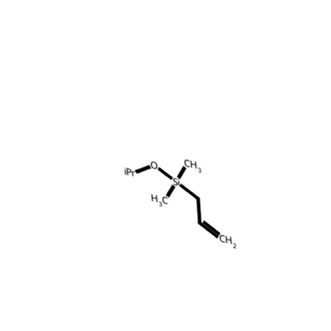 C=CC[Si](C)(C)OC(C)C